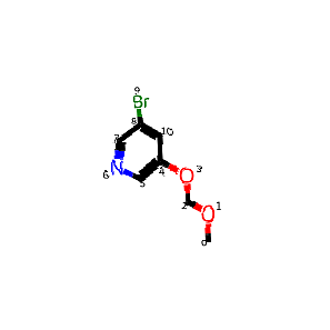 COCOc1cncc(Br)c1